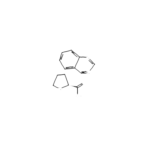 O=C(O)[C@@H]1CCCN1.c1ccc2ncncc2c1